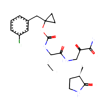 CC(C)C[C@H](NC(=O)OC1(Cc2cccc(Cl)c2)CC1)C(=O)N[C@@H](C[C@@H]1CCNC1=O)C(=O)C(N)=O